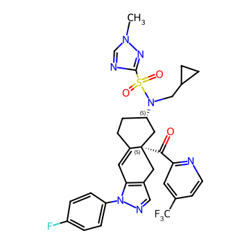 Cn1cnc(S(=O)(=O)N(CC2CC2)[C@H]2CCC3=Cc4c(cnn4-c4ccc(F)cc4)C[C@]3(C(=O)c3cc(C(F)(F)F)ccn3)C2)n1